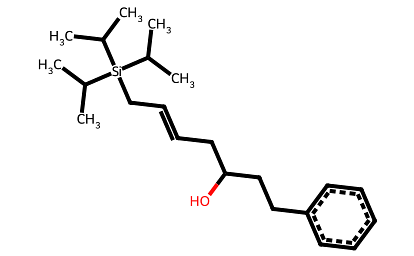 CC(C)[Si](CC=CCC(O)CCc1ccccc1)(C(C)C)C(C)C